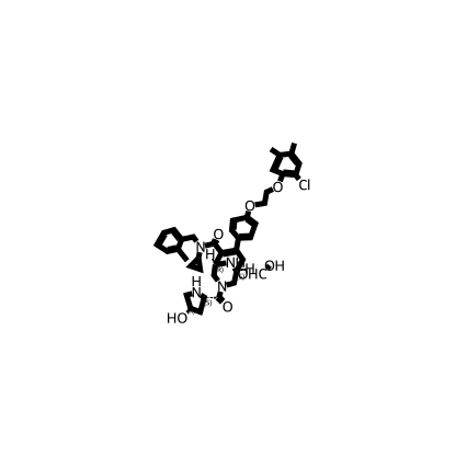 Cc1cc(Cl)c(OCCOc2ccc(C3=C(C(=O)N(Cc4ccccc4C)C4CC4)[C@@H]4CN(C(=O)[C@@H]5C[C@@H](O)CN5)C[C@H](C3)N4)cc2)cc1C.O=CO